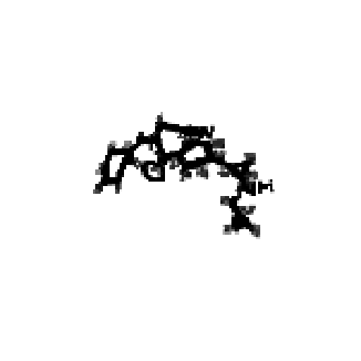 N#CCN(Cc1ccccc1)C(=O)c1ccc(C2CC2NCC2CC2)cc1